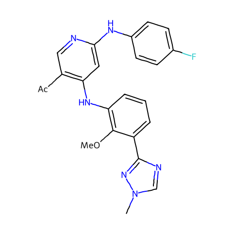 COc1c(Nc2cc(Nc3ccc(F)cc3)ncc2C(C)=O)cccc1-c1ncn(C)n1